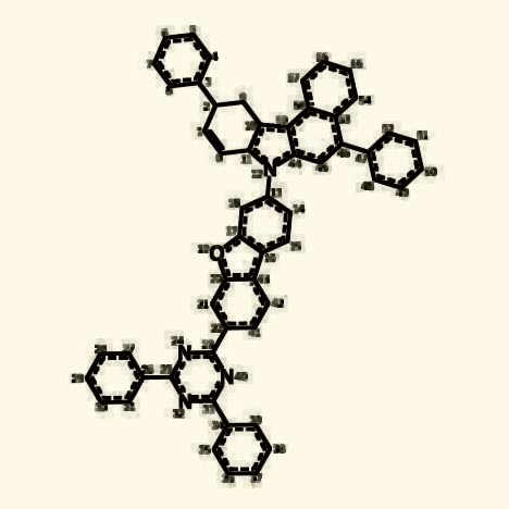 C1=CC(c2ccccc2)Cc2c1n(-c1ccc3c(c1)oc1cc(-c4nc(-c5ccccc5)nc(-c5ccccc5)n4)ccc13)c1cc(-c3ccccc3)c3ccccc3c21